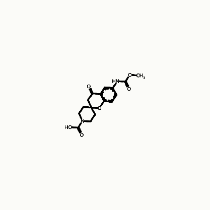 COC(=O)Nc1ccc2c(c1)C(=O)CC1(CCN(C(=O)O)CC1)O2